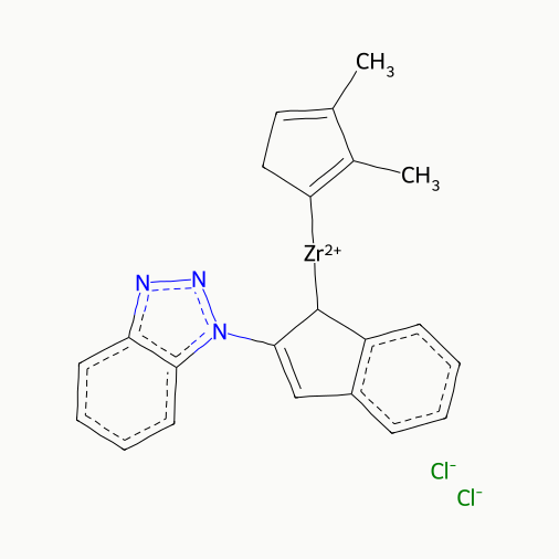 CC1=CC[C]([Zr+2][CH]2C(n3nnc4ccccc43)=Cc3ccccc32)=C1C.[Cl-].[Cl-]